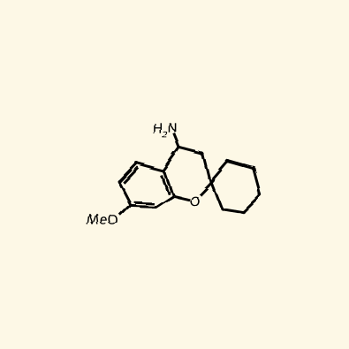 COc1ccc2c(c1)OC1(CCCCC1)CC2N